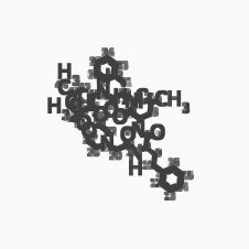 CC(C)C/C(=N\C(=O)[C@@H](CCc1ccccc1)NC(=O)CN1CCOCC1)C(=O)N[C@@H](Cc1ccccc1)C(=O)N[C@@H](CC(C)C)C(=O)[C@]1(C)CO1